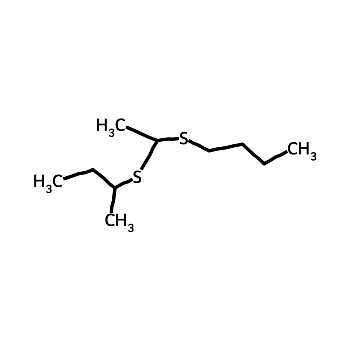 CCCCSC(C)SC(C)CC